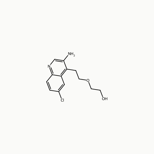 Nc1cnc2ccc(Cl)cc2c1CCOCCO